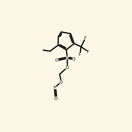 CCc1cccc(C(F)(F)F)c1S(=O)(=O)OCOP=O